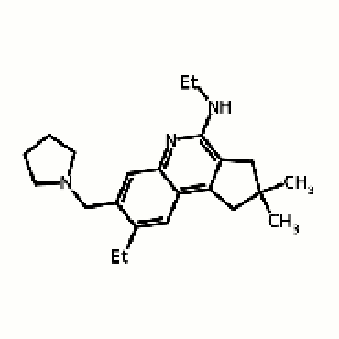 CCNc1nc2cc(CN3CCCC3)c(CC)cc2c2c1CC(C)(C)C2